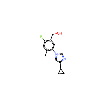 Cc1cc(F)c(CO)cc1-n1cnc(C2CC2)c1